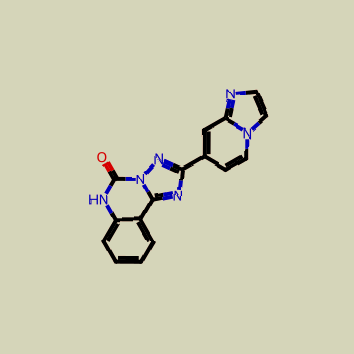 O=c1[nH]c2ccccc2c2nc(-c3ccn4ccnc4c3)nn12